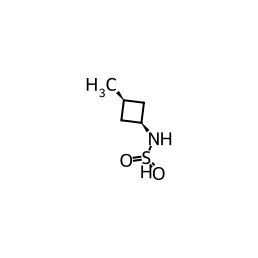 C[C@H]1C[C@@H](N[SH](=O)=O)C1